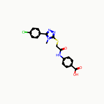 Cn1c(SCC(=O)Nc2ccc(C(=O)O)cc2)nnc1-c1ccc(Cl)cc1